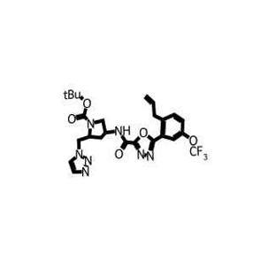 C=CCc1ccc(OC(F)(F)F)cc1-c1nnc(C(=O)NC2CC(Cn3ccnn3)N(C(=O)OC(C)(C)C)C2)o1